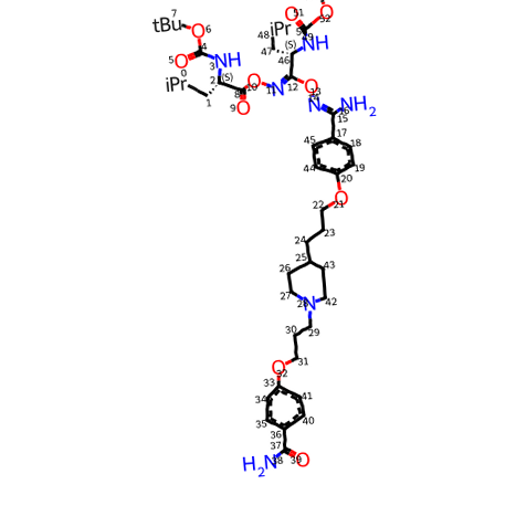 CC(C)C[C@H](NC(=O)OC(C)(C)C)C(=O)ON=C(ON=C(N)c1ccc(OCCCC2CCN(CCCOc3ccc(C(N)=O)cc3)CC2)cc1)[C@H](CC(C)C)NC(=O)OC(C)(C)C